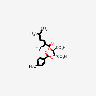 C=C/C(C)=C\C=C(/C)C(=O)O[C@@H](C(=O)O)[C@@H](OC(=O)c1ccc(C)cc1)C(=O)O